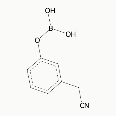 N#CCc1cccc(OB(O)O)c1